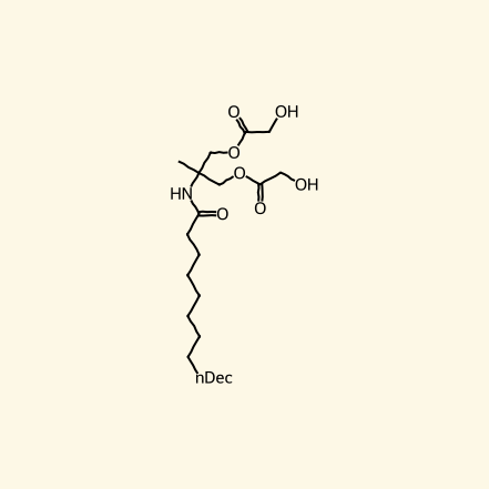 CCCCCCCCCCCCCCCCCC(=O)NC(C)(COC(=O)CO)COC(=O)CO